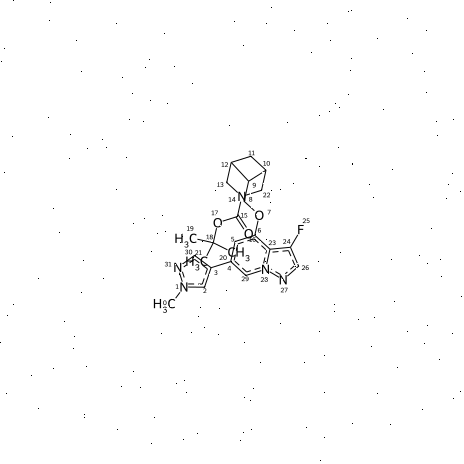 Cn1cc(-c2cc(OCC3C4CC3CN(C(=O)OC(C)(C)C)C4)c3c(F)cnn3c2)cn1